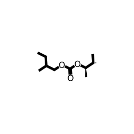 C[CH][C@@H](C)OC(=O)OCC(C)CC